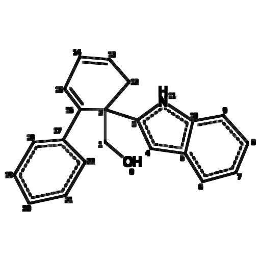 OCC1(c2cc3ccccc3[nH]2)CC=CC=C1c1ccccc1